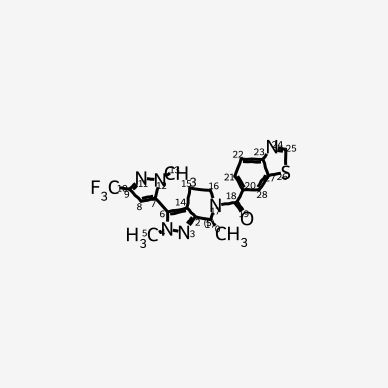 C[C@H]1c2nn(C)c(-c3cc(C(F)(F)F)nn3C)c2CCN1C(=O)c1ccc2ncsc2c1